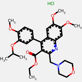 CCOC(=O)c1c(CN2CCOCC2)nc2cc(OC)c(OC)cc2c1-c1ccc(OC)c(OC(C)C)c1.Cl